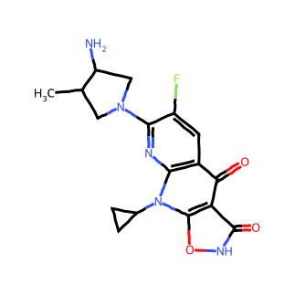 CC1CN(c2nc3c(cc2F)c(=O)c2c(=O)[nH]oc2n3C2CC2)CC1N